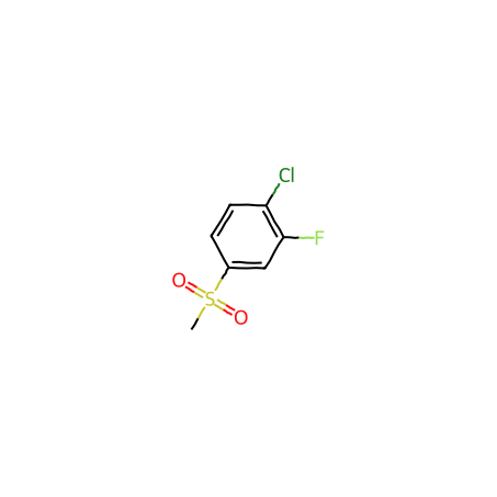 CS(=O)(=O)c1ccc(Cl)c(F)c1